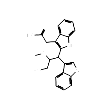 COC(CO)C(c1[nH]c2ccccc2c1CC(=O)O)c1c[nH]c2ccccc12